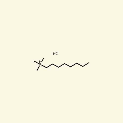 CCCCCCCC[PH](C)(C)C.Cl